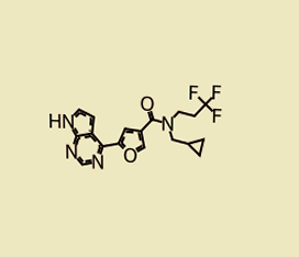 O=C(c1coc(-c2ncnc3[nH]ccc23)c1)N(CCC(F)(F)F)CC1CC1